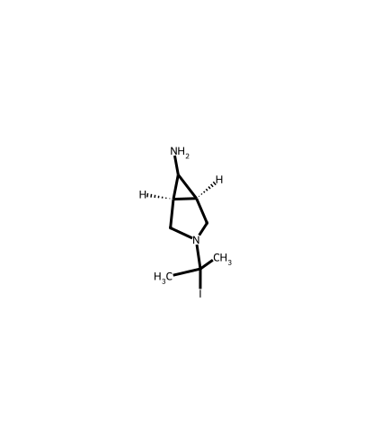 CC(C)(I)N1C[C@@H]2C(N)[C@@H]2C1